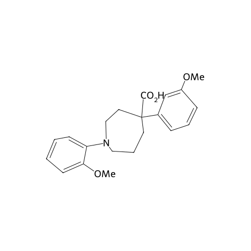 COc1cccc(C2(C(=O)O)CCCN(c3ccccc3OC)CC2)c1